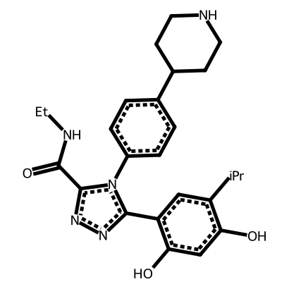 CCNC(=O)c1nnc(-c2cc(C(C)C)c(O)cc2O)n1-c1ccc(C2CCNCC2)cc1